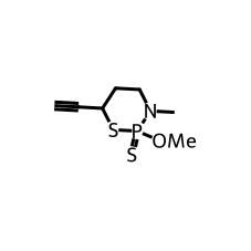 C#CC1CCN(C)P(=S)(OC)S1